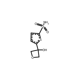 NS(=O)(=O)c1ccc(C2(O)COC2)s1